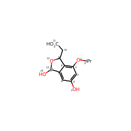 CC(C)Oc1cc(O)cc2c1C(CC(=O)O)OB2O